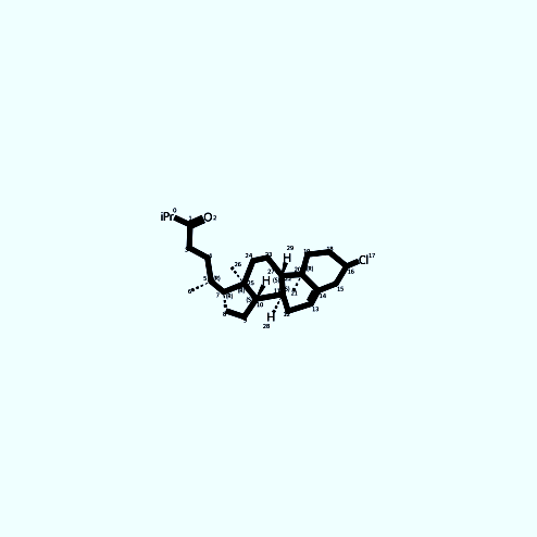 CC(C)C(=O)CC[C@@H](C)[C@H]1CC[C@H]2[C@@H]3CC=C4CC(Cl)CC[C@]4(C)[C@H]3CC[C@]12C